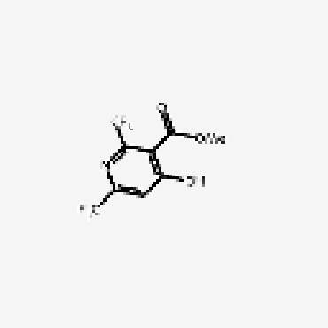 COC(=O)c1c(O)cc(C(F)(F)F)nc1C(F)(F)F